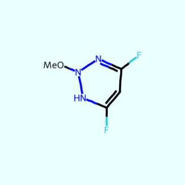 CON1N=C(F)C=C(F)N1